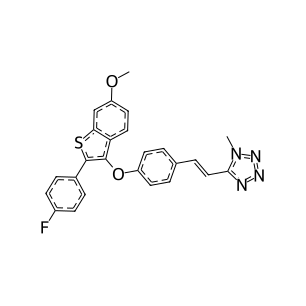 COc1ccc2c(Oc3ccc(/C=C/c4nnnn4C)cc3)c(-c3ccc(F)cc3)sc2c1